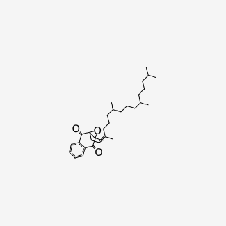 CC(=CCC12OC1(C)C(=O)c1ccccc1C2=O)CCCC(C)CCCC(C)CCCC(C)C